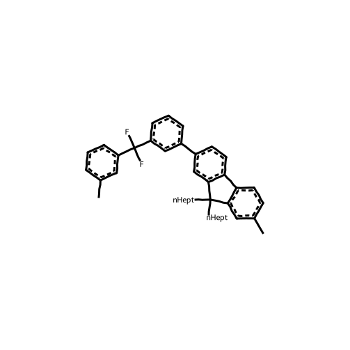 CCCCCCCC1(CCCCCCC)c2cc(C)ccc2-c2ccc(-c3cccc(C(F)(F)c4cccc(C)c4)c3)cc21